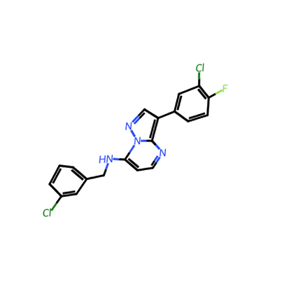 Fc1ccc(-c2cnn3c(NCc4cccc(Cl)c4)ccnc23)cc1Cl